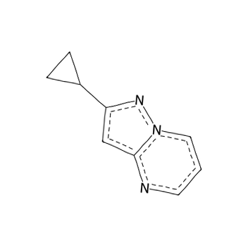 c1cnc2cc(C3CC3)nn2c1